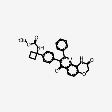 CC(C)(C)OC(=O)NC1(c2ccc(-c3c(-c4ccccc4)oc4c5c(ccc4c3=O)OCC(=O)N5)cc2)CCC1